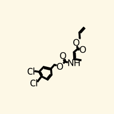 C=CCOC(=O)C=C(C)NC(=O)OCc1ccc(Cl)c(Cl)c1